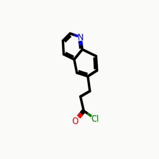 O=C(Cl)CCc1ccc2ncccc2c1